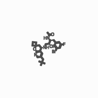 CC(=O)N[C@@H](Cc1cc(F)cc(Br)c1)[C@H](O)CN[C@H]1CC2(CCC2)Oc2ncc(CC(C)(C)C)cc21